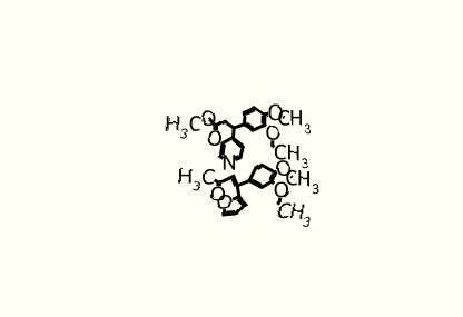 CCOc1cc(C(=CC(C)=O)c2ccco2)ccc1OC.CCOc1cc(C(CC(=O)OC)c2ccncc2)ccc1OC